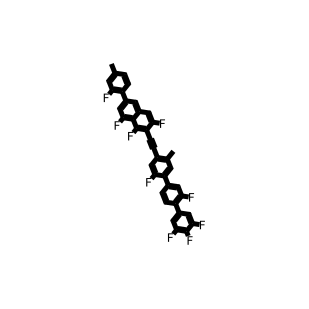 Cc1ccc(-c2cc(F)c3c(F)c(C#Cc4cc(F)c(-c5ccc(-c6cc(F)c(F)c(F)c6)c(F)c5)cc4C)c(F)cc3c2)c(F)c1